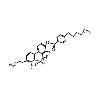 CCCCCc1ccc(C(=O)Oc2ccc3c(c2F)C(F)(F)C(F)(F)c2c-3ccc(CCC)c2F)cc1